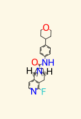 O=C(Nc1ccc(C2CCOCC2)cc1)N1[C@H]2CC[C@@H]1c1ccnc(F)c1C2